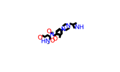 CNC(=O)C(CCC=O)N(C=O)C(=O)c1ccc(N2CCN(CC3CNC3)CC2)cc1C